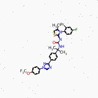 Cc1cs/c(=N\C(=O)NC(C)(C)c2ccc(-c3ncn(-c4ccc(OC(F)(F)F)cc4)n3)cc2)n1-c1ccc(F)cc1C(C)C